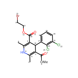 COC(=O)C1=C(C)NC(C)=C(C(=O)OCCBr)C1c1cccc(Cl)c1Cl